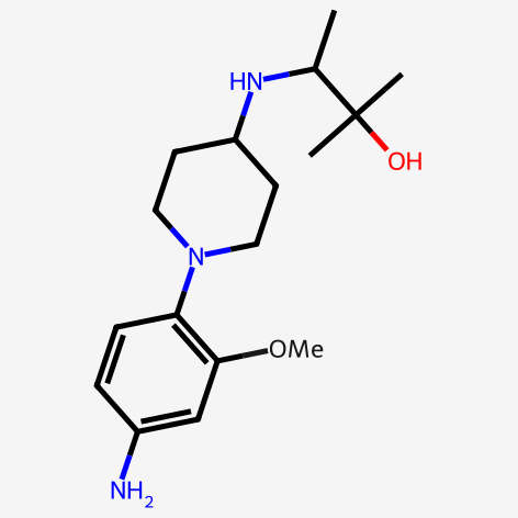 COc1cc(N)ccc1N1CCC(NC(C)C(C)(C)O)CC1